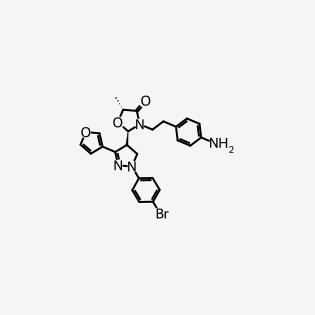 C[C@H]1O[C@H](C2CN(c3ccc(Br)cc3)N=C2c2ccoc2)N(CCc2ccc(N)cc2)C1=O